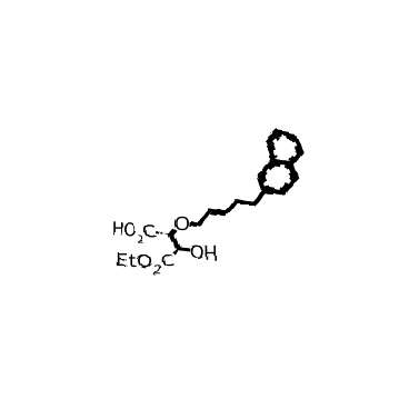 CCOC(=O)[C@H](O)[C@@H](OC/C=C/CCc1ccc2ccccc2c1)C(=O)O